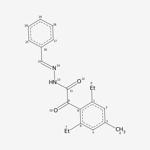 CCc1cc(C)cc(CC)c1C(=O)C(=O)NN=Cc1ccccc1